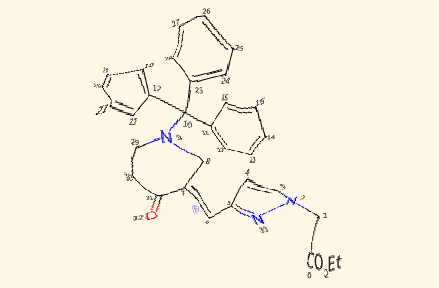 CCOC(=O)Cn1ccc(/C=C2\CN(C(c3ccccc3)(c3ccccc3)c3ccccc3)CCC2=O)n1